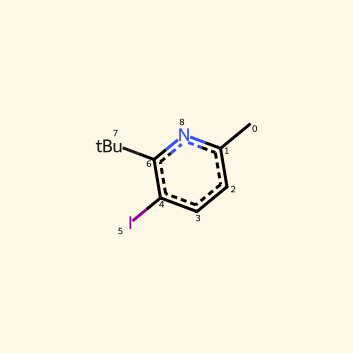 Cc1ccc(I)c(C(C)(C)C)n1